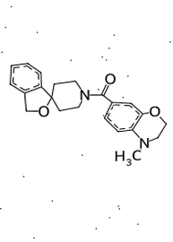 CN1CCOc2cc(C(=O)N3CCC4(CC3)OCc3ccccc34)ccc21